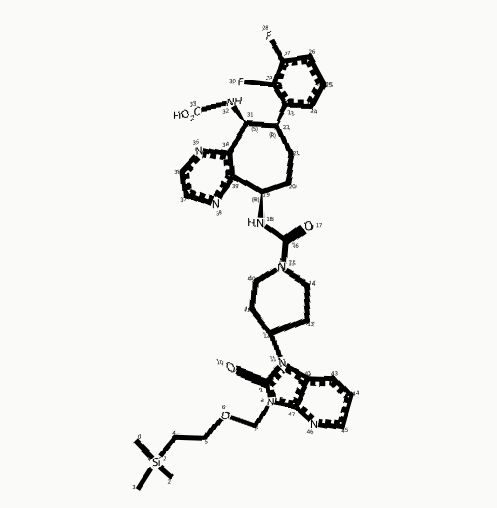 C[Si](C)(C)CCOCn1c(=O)n(C2CCN(C(=O)N[C@@H]3CC[C@H](c4cccc(F)c4F)[C@H](NC(=O)O)c4nccnc43)CC2)c2cccnc21